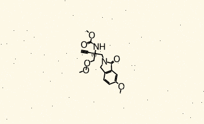 C#C[C@](COOC)(CN1Cc2ccc(OC)cc2C1=O)NC(=O)OC